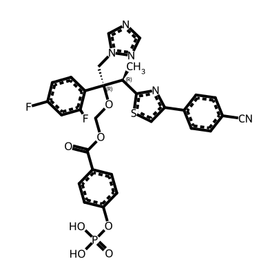 C[C@@H](c1nc(-c2ccc(C#N)cc2)cs1)[C@@](Cn1cncn1)(OCOC(=O)c1ccc(OP(=O)(O)O)cc1)c1ccc(F)cc1F